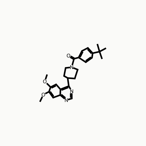 COc1cc2ncnc(C3CCN(C(=O)c4ccc(C(C)(C)C)cc4)CC3)c2cc1OC